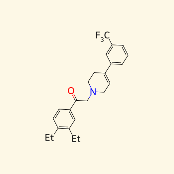 CCc1ccc(C(=O)CN2CC=C(c3cccc(C(F)(F)F)c3)CC2)cc1CC